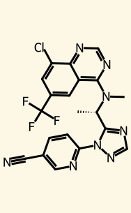 C[C@@H](c1ncnn1-c1ccc(C#N)cn1)N(C)c1ncnc2c(Cl)cc(C(F)(F)F)cc12